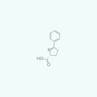 O=C(O)[C@H]1CCC(c2ccccc2)=N1